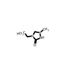 CN1CN(CC(=O)O)C(=O)N1